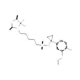 CC(C)(C)COc1cc(C2(NS(=O)(=O)CCCCCN3C(=O)NC(=O)C3(C)C)CC2)ccc1F